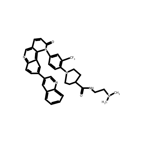 CN(C)CCNC(=O)C1CCN(c2ccc(-n3c(=O)ccc4cnc5ccc(-c6cnc7ccccc7c6)cc5c43)cc2C(F)(F)F)CC1